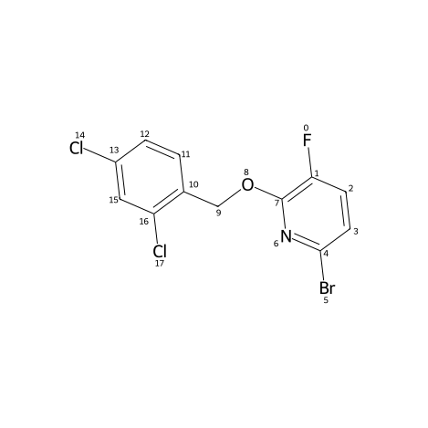 Fc1ccc(Br)nc1OCc1ccc(Cl)cc1Cl